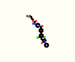 CCCCOC(=O)NC1CCN(C(=O)c2ccc(-c3cc(Cl)c(CC4CCN(C5CCCCC5)C4=O)c(Cl)c3)cc2)CC1